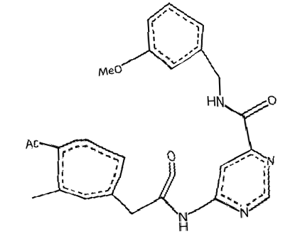 COc1cccc(CNC(=O)c2cc(NC(=O)Cc3ccc(C(C)=O)c(C)c3)ncn2)c1